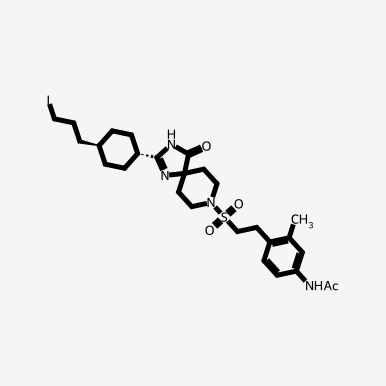 CC(=O)Nc1ccc(CCS(=O)(=O)N2CCC3(CC2)N=C([C@H]2CC[C@H](CCCI)CC2)NC3=O)c(C)c1